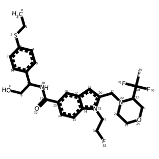 CCSc1ccc(C(CO)NC(=O)c2ccc3c(c2)cc(CN2CCOCC2C(F)(F)F)n3CCF)cc1